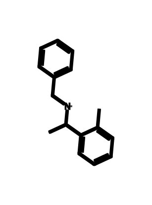 Cc1ccccc1C(C)[N]Cc1ccccc1